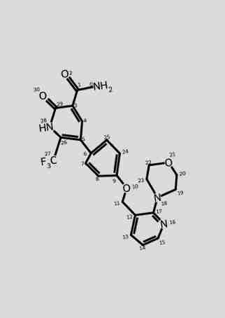 NC(=O)c1cc(-c2ccc(OCc3cccnc3N3CCOCC3)cc2)c(C(F)(F)F)[nH]c1=O